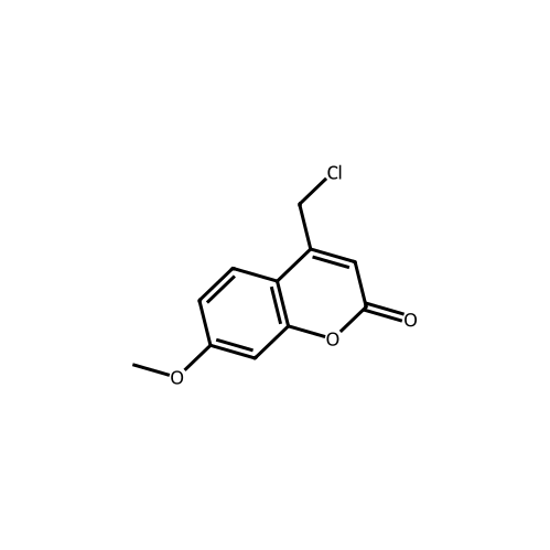 COc1ccc2c(CCl)cc(=O)oc2c1